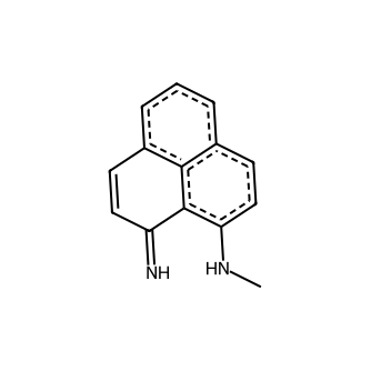 CNc1ccc2cccc3c2c1C(=N)C=C3